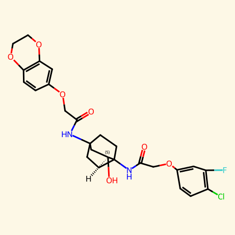 O=C(COc1ccc2c(c1)OCCO2)NC12CCC(NC(=O)COc3ccc(Cl)c(F)c3)(CC1)[C@@H](O)C2